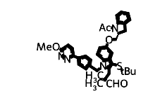 COc1ccc(-c2ccc(Cn3c(CC(C)(C)C=O)c(SC(C)(C)C)c4cc(OC[C@@H]5Cc6ccccc6N5C(C)=O)ccc43)cc2)nn1